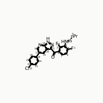 CCCSNc1c(F)ccc(C(=O)c2n[nH]c3ncc(-c4ccc(Cl)cc4)cc23)c1F